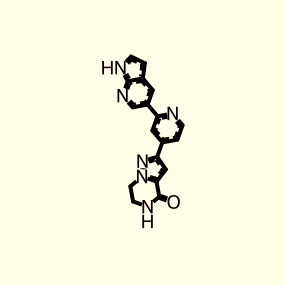 O=C1NCCn2nc(-c3ccnc(-c4cnc5[nH]ccc5c4)c3)cc21